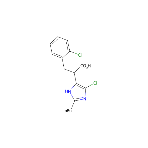 CCCCc1nc(Cl)c(C(Cc2ccccc2Cl)C(=O)O)[nH]1